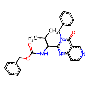 CC(C)C(NC(=O)OCc1ccccc1)c1nc2ccncc2c(=O)n1Cc1ccccc1